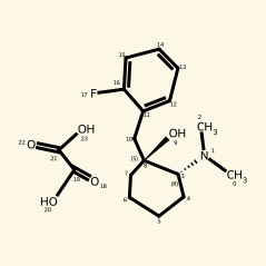 CN(C)[C@@H]1CCCC[C@]1(O)Cc1ccccc1F.O=C(O)C(=O)O